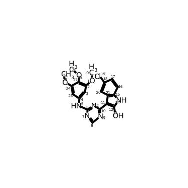 COc1cc(Nc2ncnc(-c3c(O)[nH]c4ccc(Cl)cc34)n2)cc(OC)c1OC